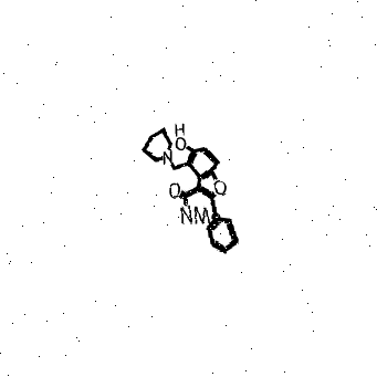 CNC(=O)c1c(-c2ccccc2)oc2ccc(O)c(CN3CCCCC3)c12